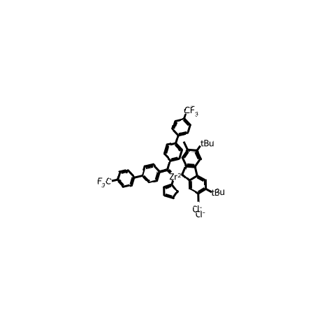 Cc1cc2c(cc1C(C)(C)C)-c1cc(C(C)(C)C)c(C)cc1[CH]2[Zr+2]([C]1=CC=CC1)=[C](c1ccc(-c2ccc(C(F)(F)F)cc2)cc1)c1ccc(-c2ccc(C(F)(F)F)cc2)cc1.[Cl-].[Cl-]